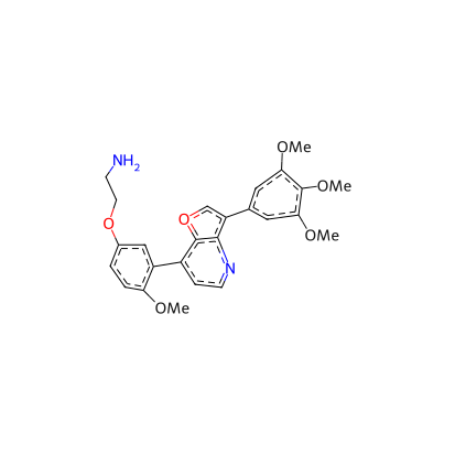 COc1ccc(OCCN)cc1-c1ccnc2c(-c3cc(OC)c(OC)c(OC)c3)coc12